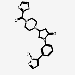 CCn1nccc1-c1cccc(N2CC(N3CCN(C(=O)c4nccs4)CC3)CC2=O)c1